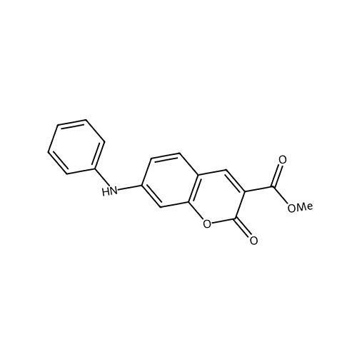 COC(=O)c1cc2ccc(Nc3ccccc3)cc2oc1=O